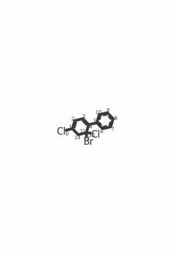 ClC1=CC=C(c2ccccc2)C(Cl)(Br)C1